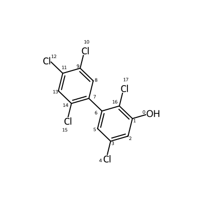 Oc1cc(Cl)cc(-c2cc(Cl)c(Cl)cc2Cl)c1Cl